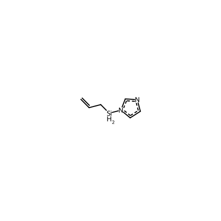 C=CC[SiH2]n1ccnc1